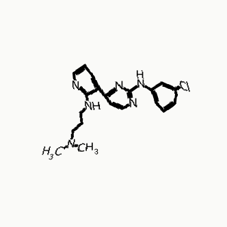 CN(C)CCCNc1ncccc1-c1ccnc(Nc2cccc(Cl)c2)n1